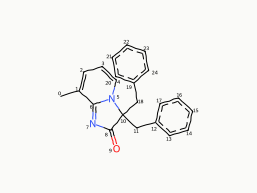 CC1=CC=CN2C1=NC(=O)C2(Cc1ccccc1)Cc1ccccc1